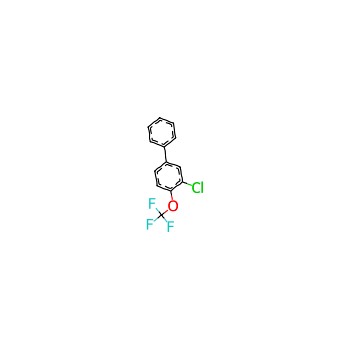 FC(F)(F)Oc1ccc(-c2ccccc2)cc1Cl